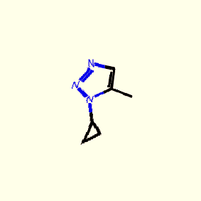 Cc1cnnn1C1CC1